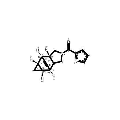 O=C(c1cccs1)N1CC2[C@@H](C1)[C@H]1C=C[C@@H]2[C@@H]2C[C@H]12